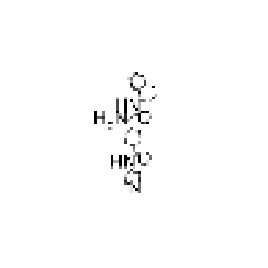 NC(C(=O)N[C@@H]1CCCc2ccccc21)[C@H]1CC[C@H](C(=O)Nc2ccncc2)CC1